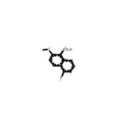 O=C(O)c1c(OI)ccc2c(F)cccc12